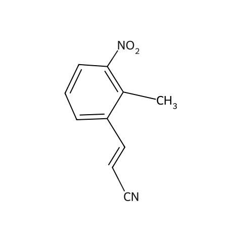 Cc1c(C=CC#N)cccc1[N+](=O)[O-]